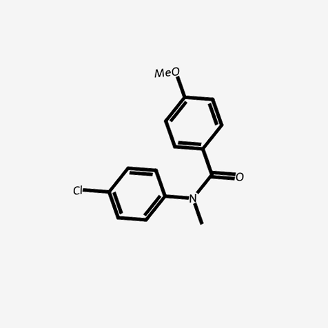 COc1ccc(C(=O)N(C)c2ccc(Cl)cc2)cc1